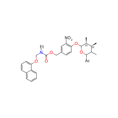 CCN(COc1cccc2ccccc12)C(=O)OCc1ccc(OC2OC(C(C)=O)C(C)[C@H](C)[C@@H]2C)c([N+](=O)[O-])c1